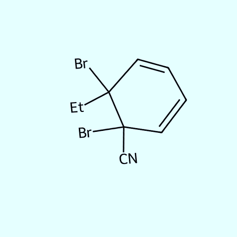 CCC1(Br)C=CC=CC1(Br)C#N